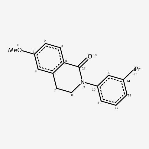 COc1ccc2c(c1)CCN(c1cccc(C(C)C)c1)C2=O